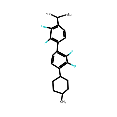 CCCCC(CCC)c1ccc(-c2ccc(C3CCC(C)CC3)c(F)c2F)c(F)c1F